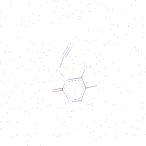 Cc1cnc(=O)n(BC#N)c1N